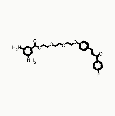 Nc1cc(N)cc(C(=O)OCCOCCOCCOc2ccc(C=CC(=O)c3ccc(F)cc3)cc2)c1